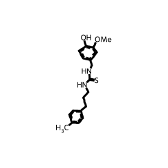 COc1cc(CNC(=S)NCCCc2ccc(C)cc2)ccc1O